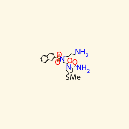 CS[C@@H]1C[C@@H](C(N)=O)N(C(=O)CN(CCCCN)S(=O)(=O)c2ccc3ccccc3c2)C1